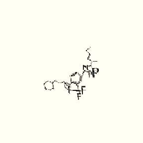 CCCCC(C)c1nc(-c2ccc(OCCCC3CCCCC3)c(C(F)(F)F)c2)no1